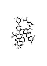 Cc1cc(C(F)F)nn1C(C)C(=O)N[C@@H](Cc1cc(F)cc(F)c1)c1nc2cc(N3C[C@@H](C)O[C@@H](C)C3)ccc2c(=O)n1-c1ccc(Cl)c2c(NS(C)(=O)=O)nn(CC(F)F)c12